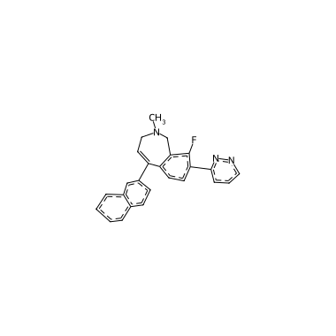 CN1CC=C(c2ccc3ccccc3c2)c2ccc(-c3cccnn3)c(F)c2C1